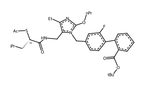 CCCOc1nc(CC)c(CNC(=O)[C@H](CC(C)C)SC(C)=O)n1Cc1ccc(-c2ccccc2C(=O)OC(C)(C)C)c(F)c1